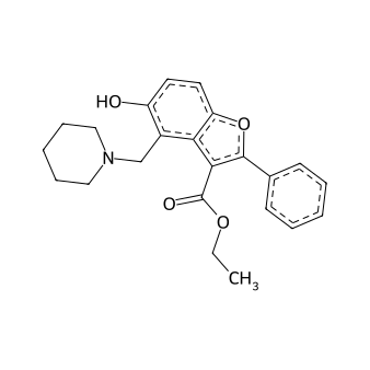 CCOC(=O)c1c(-c2ccccc2)oc2ccc(O)c(CN3CCCCC3)c12